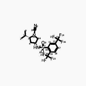 CC(C)[C@H]1C[C@@H](NS(=O)(=O)c2cc(C(F)(F)F)ccc2C(F)(F)F)CN1C#N